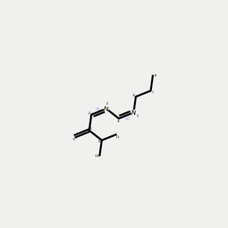 C=C(/C=N\C=N/CCC)C(C)C